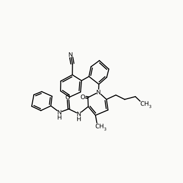 CCCCc1cc(C)c(NC(=O)Nc2ccccc2)c(=O)n1-c1ccccc1-c1ccccc1C#N